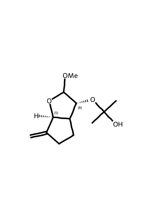 C=C1CCC2[C@@H](OC(C)(C)O)C(OC)O[C@H]12